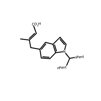 CCCCCC(CCCCC)n1ccc2cc(CC(C)=CC(=O)O)ccc21